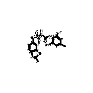 Cc1cc(C(C)C)c(NC(=O)NS(=O)(=O)Nc2ccc3nc(C)[nH]c3c2)c(C(C)C)c1